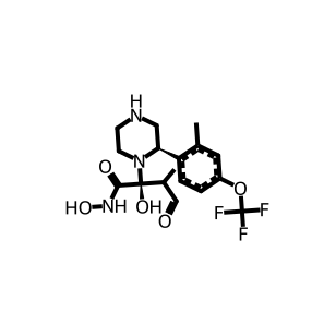 Cc1cc(OC(F)(F)F)ccc1[C@@H]1CNCCN1[C@@](O)(C(=O)NO)C(C)C=O